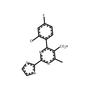 Cc1nc(-c2nccs2)nc(-c2ccc(F)cc2Cl)c1C(=O)O